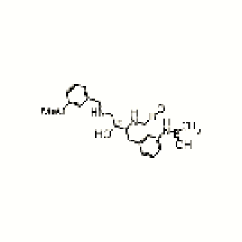 COc1cccc(CNC[C@@H](O)C(Cc2cccc(NB(C)O)c2)NCB=O)c1